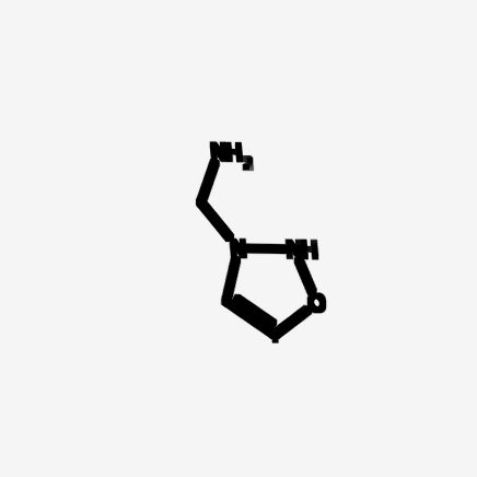 NCN1C=[C]ON1